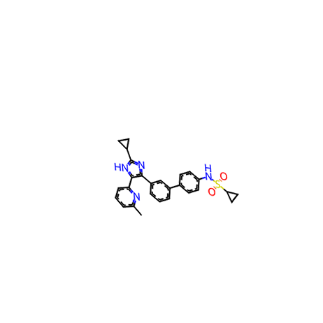 Cc1cccc(-c2[nH]c(C3CC3)nc2-c2cccc(-c3ccc(NS(=O)(=O)C4CC4)cc3)c2)n1